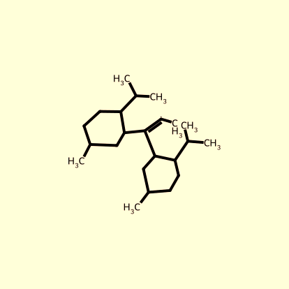 C[C]=C(C1CC(C)CCC1C(C)C)C1CC(C)CCC1C(C)C